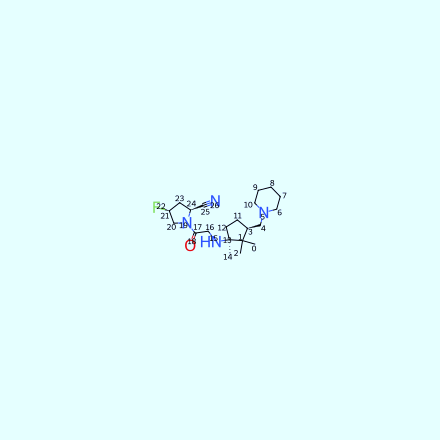 CC1(C)[C@H](CN2CCCCC2)CC[C@]1(C)NCC(=O)N1C[C@@H](F)C[C@H]1C#N